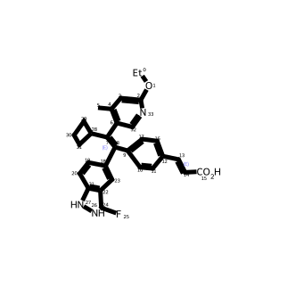 CCOc1cc(C)c(/C(=C(\c2ccc(/C=C/C(=O)O)cc2)c2ccc3c(c2)C(F)NN3)C2CCC2)cn1